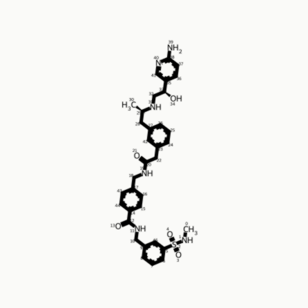 CNS(=O)(=O)c1cccc(CNC(=O)c2ccc(CNC(=O)Cc3cccc(C[C@@H](C)NC[C@H](O)c4ccc(N)nc4)c3)cc2)c1